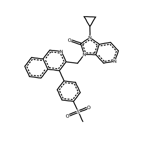 CS(=O)(=O)c1ccc(-c2c(Cn3c(=O)n(C4CC4)c4ccncc43)ncc3ccccc23)cc1